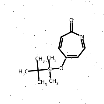 CC(C)(C)[Si](C)(C)Oc1ccnc(=O)cc1